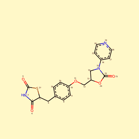 O=C1NC(=O)C(Cc2ccc(OCC3CN(c4ccncc4)C(=O)O3)cc2)S1